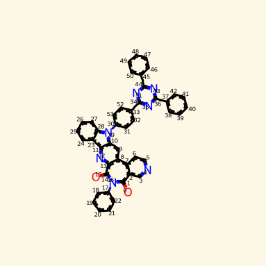 O=c1c2cnccc2c2cc3c(nc2c(=O)n1-c1ccccc1)c1ccccc1n3-c1ccc(-c2nc(-c3ccccc3)nc(-c3ccccc3)n2)cc1